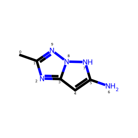 Cc1nc2cc(N)[nH]n2n1